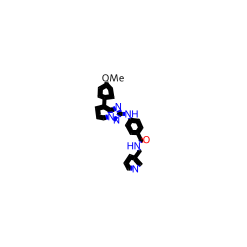 COc1ccc(-c2cccn3nc(Nc4ccc(C(=O)NCc5cccnc5)cc4)nc23)cc1